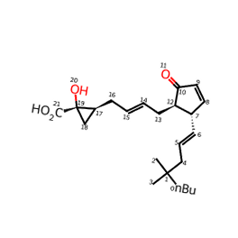 CCCCC(C)(C)CC=C[C@H]1C=CC(=O)[C@@H]1CC=CC[C@H]1C[C@@]1(O)C(=O)O